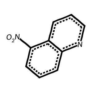 O=[N+]([O-])c1cccc2ncccc12